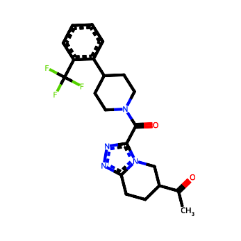 CC(=O)C1CCc2nnc(C(=O)N3CCC(c4ccccc4C(F)(F)F)CC3)n2C1